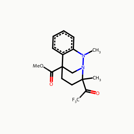 COC(=O)C12CCC(C)(C(=O)C(F)(F)F)N(C1)N(C)c1ccccc12